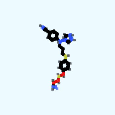 N#Cc1ccc(N(CCCSc2ccc(OSOON)cc2)n2cnnc2)cc1